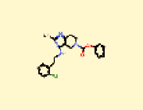 N#Cc1nc2c(c(NCCc3ccccc3Cl)n1)CN(C(=O)Oc1ccccc1)CC2